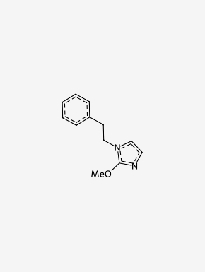 COc1nccn1CCc1ccccc1